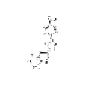 O=C(O)c1ccc(-c2ccn(-c3ccc4c(c3)OCCO4)c2)cc1